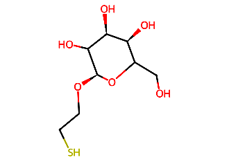 OCC1O[C@@H](OCCS)C(O)[C@@H](O)[C@H]1O